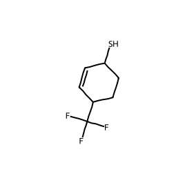 FC(F)(F)C1C=CC(S)CC1